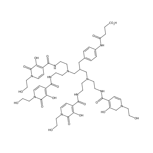 O=C(O)CCC(=O)Nc1ccc(CC(CN(CCNC(=O)C2=C(O)CN(CCO)C=C2)CCNC(=O)c2ccn(CCO)c(=O)c2O)CN(CCNC(=O)c2ccn(CCO)c(=O)c2O)CCNC(=O)c2ccn(CCO)c(=O)c2O)cc1